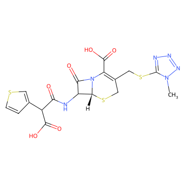 Cn1nnnc1SCC1=C(C(=O)O)N2C(=O)C(NC(=O)C(C(=O)O)c3ccsc3)[C@H]2SC1